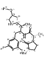 CCCC[C@H]1CCN([C@@H](C)C(=O)NC(Cc2cc(F)cc(F)c2)[C@H](O)[C@H]2CC(OCCC)CN2)C1=O